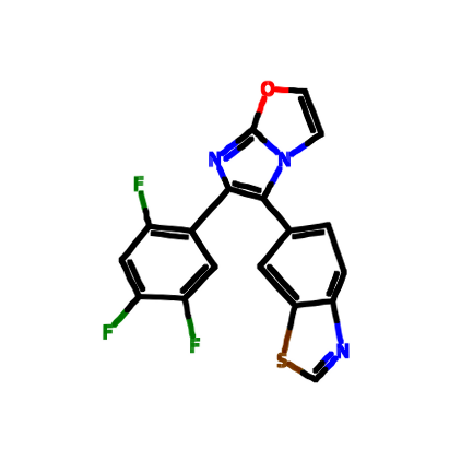 Fc1cc(F)c(-c2nc3occn3c2-c2ccc3ncsc3c2)cc1F